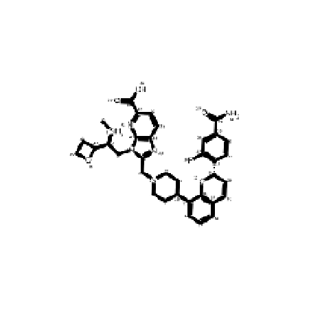 C[SiH2]C(Cn1c(CN2CCC(c3cccc4c3O[C@H](c3ccc(C(N)=O)cc3F)C=C4)CC2)nc2ccc(C(=O)O)nc21)C1CCO1